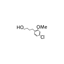 COc1cc(Cl)ccc1CCCCO